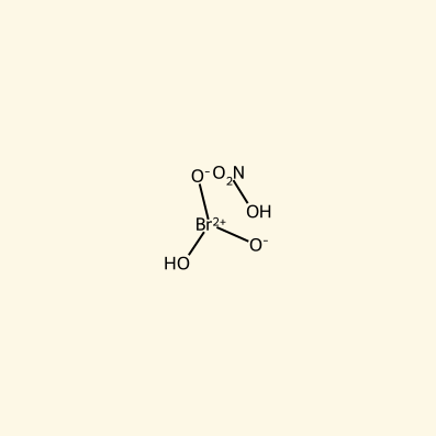 O=[N+]([O-])O.[O-][Br+2]([O-])O